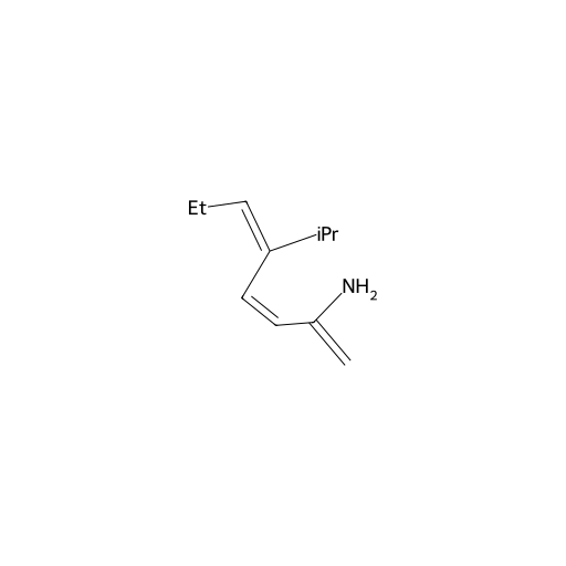 C=C(N)/C=C\C(=C/CC)C(C)C